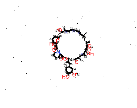 COC1C(=O)C(C)C[C@H](C)/C=C/C=C/C=C(\C)[C@@H](OC)C[C@@H]2CC[C@@H](C)[C@@](O)(O2)C(=O)C(=O)N2CCCCC2C(=O)O[C@H]([C@H](C)C[C@@H]2CC[C@@H](O)[C@H](OC)C2)CC(=O)[C@H](C)/C=C(\C)[C@H]1O